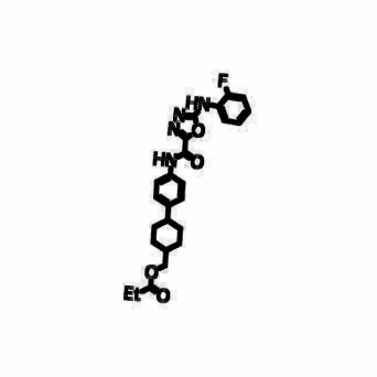 CCC(=O)OCC1CCC(c2ccc(NC(=O)c3nnc(Nc4ccccc4F)o3)cc2)CC1